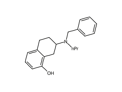 CCCN(Cc1ccccc1)C1CCc2cccc(O)c2C1